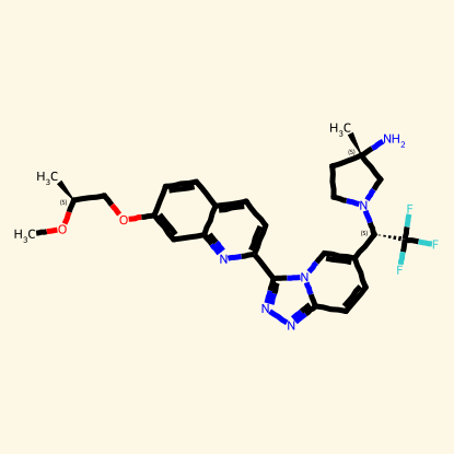 CO[C@@H](C)COc1ccc2ccc(-c3nnc4ccc([C@H](N5CC[C@](C)(N)C5)C(F)(F)F)cn34)nc2c1